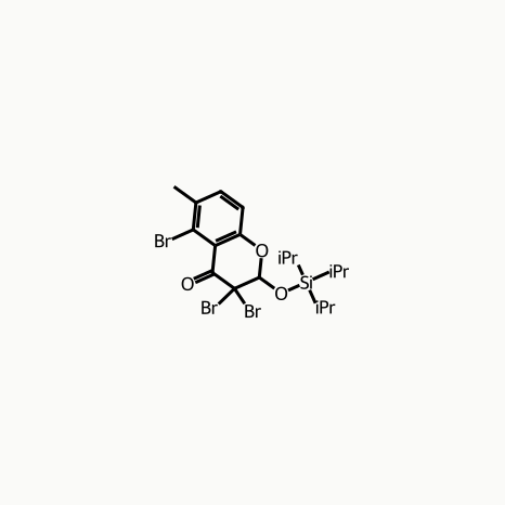 Cc1ccc2c(c1Br)C(=O)C(Br)(Br)C(O[Si](C(C)C)(C(C)C)C(C)C)O2